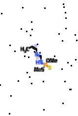 C/C=C\N=C\NP(=S)(OC)SC